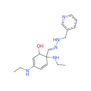 CCNC1=CC(O)C(C=NNCc2cccnc2)(NCC)C=C1